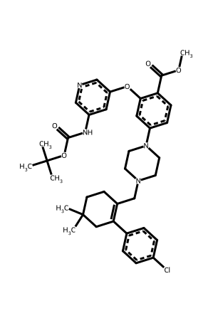 COC(=O)c1ccc(N2CCN(CC3=C(c4ccc(Cl)cc4)CC(C)(C)CC3)CC2)cc1Oc1cncc(NC(=O)OC(C)(C)C)c1